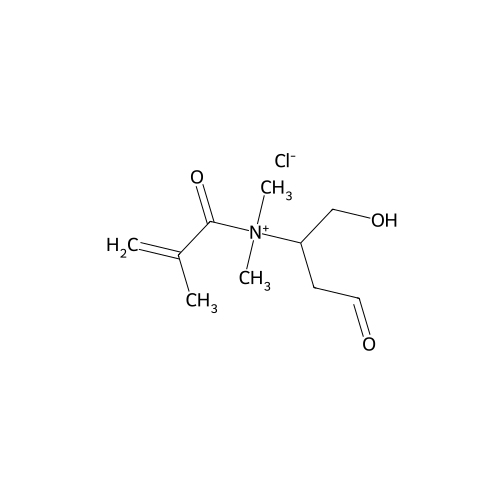 C=C(C)C(=O)[N+](C)(C)C(CO)CC=O.[Cl-]